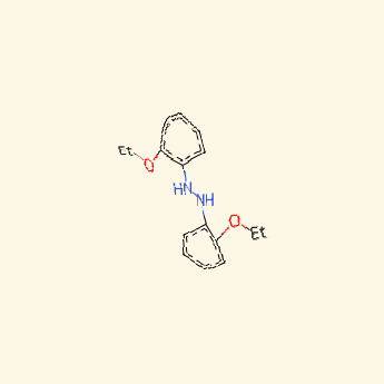 CCOc1ccccc1NNc1ccccc1OCC